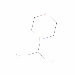 CSC(C=O)N1CCOCC1